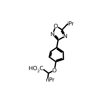 CCCC(Oc1ccc(-c2noc(C(C)C)n2)cc1)C(=O)O